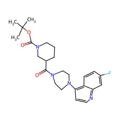 CC(C)(C)OC(=O)N1CCCC(C(=O)N2CCN(c3ccnc4cc(F)ccc34)CC2)C1